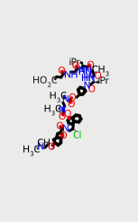 CC(C)C[C@H](NC(=O)CCNC(=O)CCC(=O)O)C(=O)N[C@@H](C)C(=O)N[C@@H](CC(C)C)C(=O)Nc1ccc(COC(=O)N(C)CCN(C)C(=O)Oc2cc3c(c4ccccc24)[C@H](CCl)CN3C(=O)c2cc3cc(OCCN(C)C)ccc3o2)cc1